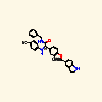 COc1cc([C@@H](Nc2ccc(C#N)cc2)C(=O)NCc2ccccc2)ccc1OCc1ccc2[nH]ccc2c1